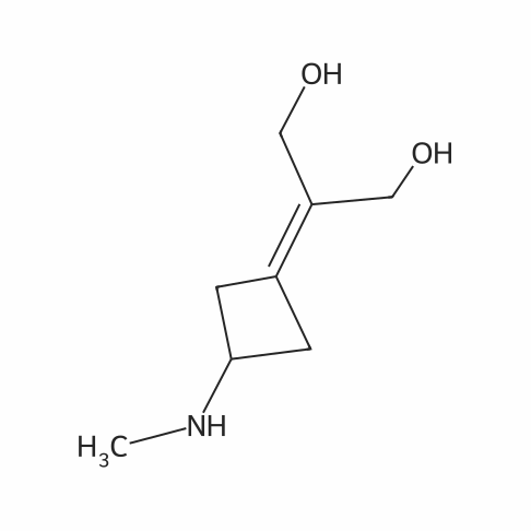 CNC1CC(=C(CO)CO)C1